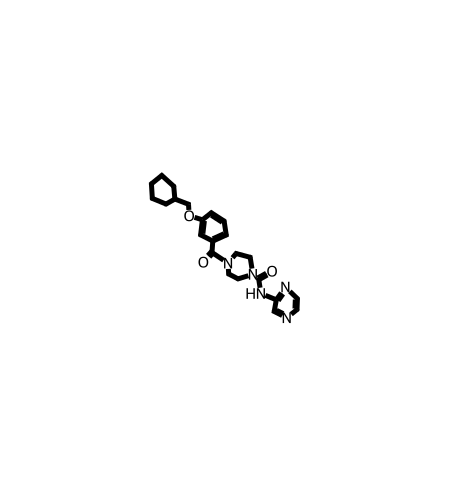 O=C(Nc1cnccn1)N1CCN(C(=O)c2cccc(OCC3CCCCC3)c2)CC1